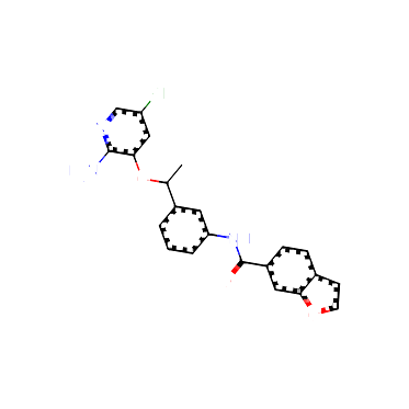 CC(Oc1cc(Cl)cnc1N)c1cccc(NC(=O)c2ccc3ccoc3c2)c1